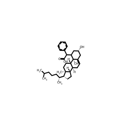 CC(C)CCC[C@@H](C)[C@H]1CC[C@H]2[C@@H]3CC=C4C[C@@H](O)CC(C(C(=O)O)c5ccccc5)[C@]4(C)[C@H]3CC[C@]12C